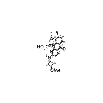 COC1CC(N(C)c2ccc3c(=O)c4ccc(C)c(N(C)C)c4n(CC(=O)O)c3n2)C1